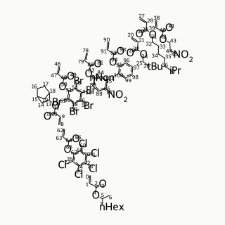 C=CC(=O)OC(C)CCCCCC.C=CC(=O)OC1CC2CCC1C2.C=CC(=O)OCC(C)(C)C.C=CC(=O)OCCCCCC(C)C.C=CC(=O)OCC[N+](=O)[O-].C=CC(=O)Oc1c(Br)c(Br)c(Br)c(Br)c1Br.C=CC(=O)Oc1c(Cl)c(Cl)c(Cl)c(Cl)c1Cl.C=CC(=O)Oc1ccc([N+](=O)[O-])cc1.C=CC(=O)Oc1ccccc1CCCCCCCCC